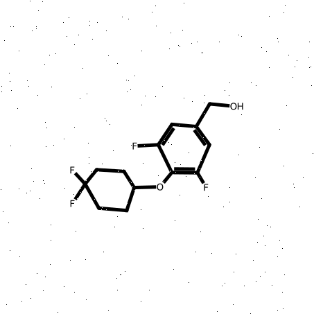 OCc1cc(F)c(OC2CCC(F)(F)CC2)c(F)c1